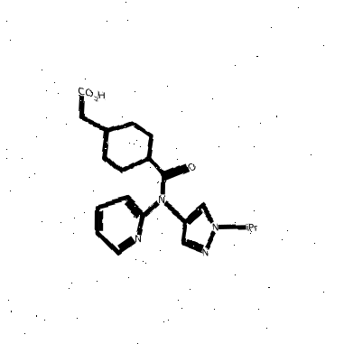 CC(C)n1cc(N(C(=O)C2CCC(CC(=O)O)CC2)c2ccccn2)cn1